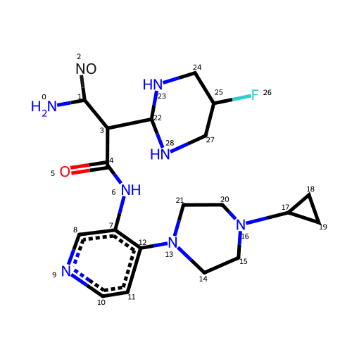 NC(N=O)C(C(=O)Nc1cnccc1N1CCN(C2CC2)CC1)C1NCC(F)CN1